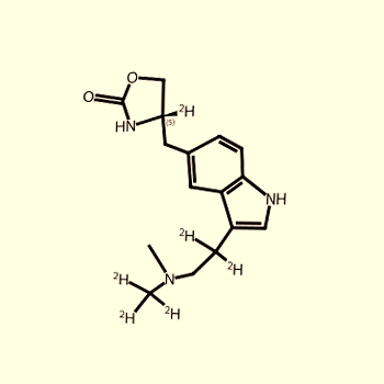 [2H]C([2H])(CN(C)C([2H])([2H])[2H])c1c[nH]c2ccc(C[C@@]3([2H])COC(=O)N3)cc12